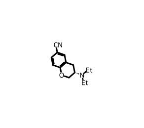 CCN(CC)[C@@H]1COc2ccc(C#N)cc2C1